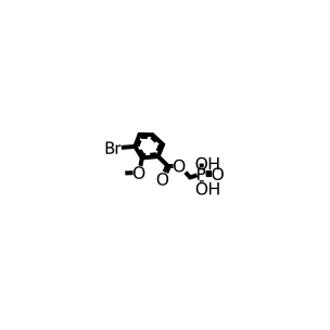 COc1c(Br)cccc1C(=O)OCP(=O)(O)O